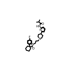 CC(C)C(=O)Nc1cccc(C2CCN(CCCNC(=O)C3(c4ccc(F)cc4)CCCCC3)CC2)n1